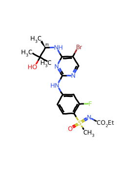 CCOC(=O)N=S(C)(=O)c1ccc(Nc2ncc(Br)c(N[C@H](C)C(C)(C)O)n2)cc1F